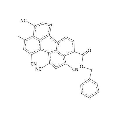 Cc1cc(C#N)c2c3c(C#N)cc(C#N)c4c(C(=O)OCc5ccccc5)ccc(c5ccc(C#N)c1c52)c43